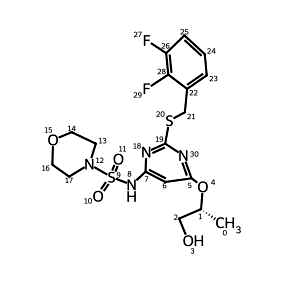 C[C@H](CO)Oc1cc(NS(=O)(=O)N2CCOCC2)nc(SCc2cccc(F)c2F)n1